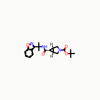 CC(C)(C)OC(=O)N1C[C@@H]2[C@H](C1)[C@H]2C(=O)NC(C)(C)c1noc2ccccc12